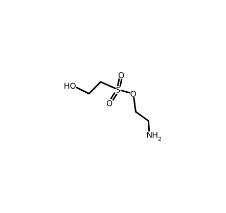 NCCOS(=O)(=O)CCO